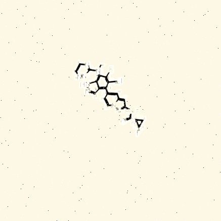 CN(c1nccnn1)c1c(F)c(Cl)c(-c2ccn3nc(NC(=O)[C@@H]4C[C@@H]4F)cc3c2)c2cn[nH]c12